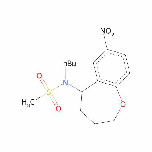 CCCCN(C1CCCOc2ccc([N+](=O)[O-])cc21)S(C)(=O)=O